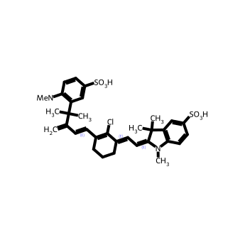 C=C(/C=C/C1=C(Cl)C(=C/C=C2/N(C)c3ccc(S(=O)(=O)O)cc3C2(C)C)/CCC1)C(C)(C)c1cc(S(=O)(=O)O)ccc1NC